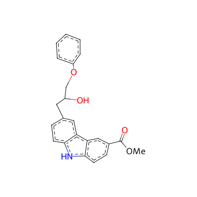 COC(=O)c1ccc2[nH]c3ccc(CC(O)COc4ccccc4)cc3c2c1